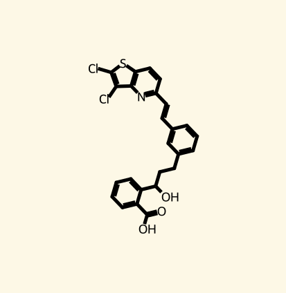 O=C(O)c1ccccc1C(O)CCc1cccc(C=Cc2ccc3sc(Cl)c(Cl)c3n2)c1